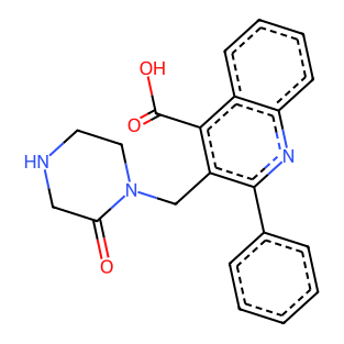 O=C(O)c1c(CN2CCNCC2=O)c(-c2ccccc2)nc2ccccc12